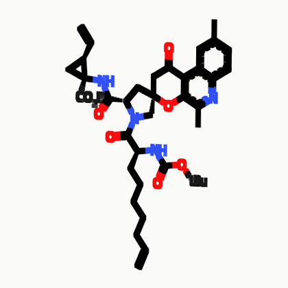 C=CCCCCC[C@H](NC(=O)OC(C)(C)C)C(=O)N1C[C@@]2(CC(=O)c3c(c(C)nc4ccc(C)cc34)O2)C[C@H]1C(=O)N[C@]1(C(=O)OCC)C[C@H]1C=C